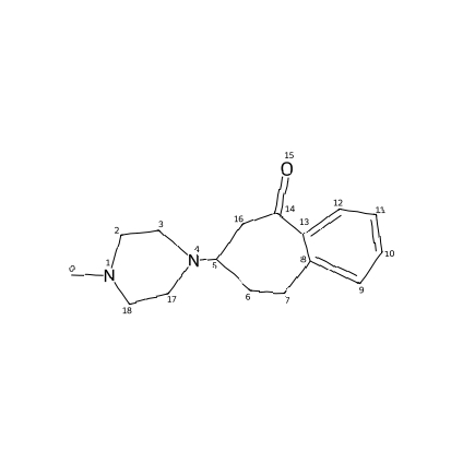 CN1CCN(C2CCc3ccccc3C(=O)C2)CC1